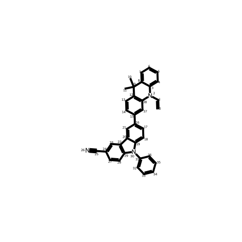 C=CN1c2ccccc2C(C)(C)c2ccc(-c3ccc4c(c3)c3cc(C#N)ccc3n4-c3ccccc3)cc21